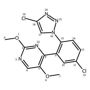 COc1ncc(OC)c(-c2cc(Cl)ccc2-n2cc(Cl)nn2)n1